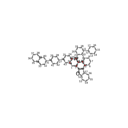 c1ccc(-c2ccccc2-c2c(-c3ccccc3)cccc2N(c2ccc(-c3ccc(-c4ccc5ccccc5c4)cc3)cc2)c2ccc3c(c2)oc2ccccc23)cc1